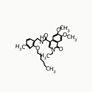 CCCCCCOc1cc(C)ccc1CNC(=O)c1cn(CC)c(=O)c2cc(OC)c(OC)cc12